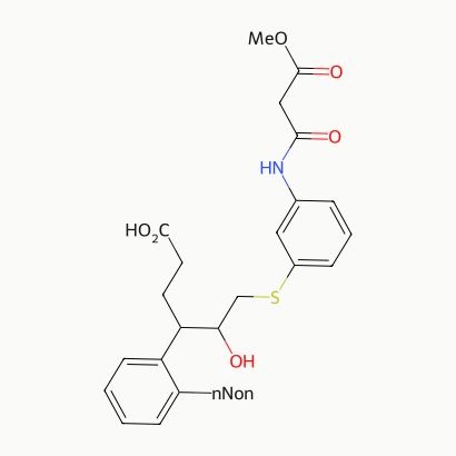 CCCCCCCCCc1ccccc1C(CCC(=O)O)C(O)CSc1cccc(NC(=O)CC(=O)OC)c1